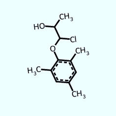 Cc1cc(C)c(OC(Cl)C(C)O)c(C)c1